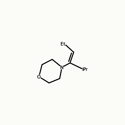 CC/C=C(/C(C)C)N1CCOCC1